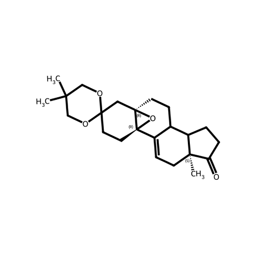 CC1(C)COC2(CC[C@]34O[C@]3(CCC3C4=CC[C@]4(C)C(=O)CCC34)C2)OC1